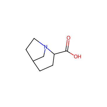 O=C(O)C1CCC2CCN1C2